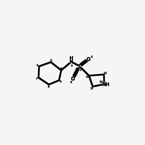 O=S(=O)(NC1CCCCC1)C1CNC1